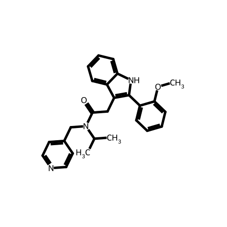 COc1ccccc1-c1[nH]c2ccccc2c1CC(=O)N(Cc1ccncc1)C(C)C